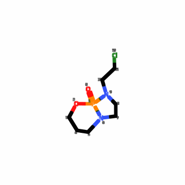 O=P12OCCCN1CCN2CCCl